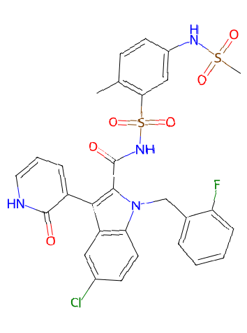 Cc1ccc(NS(C)(=O)=O)cc1S(=O)(=O)NC(=O)c1c(-c2ccc[nH]c2=O)c2cc(Cl)ccc2n1Cc1ccccc1F